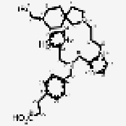 CC(C)(C)CN1CCC2(CC1)CCN(CCCn1ccnc1CN(Cc1ccc(CCC(=O)O)cc1)Cc1ncc[nH]1)C2